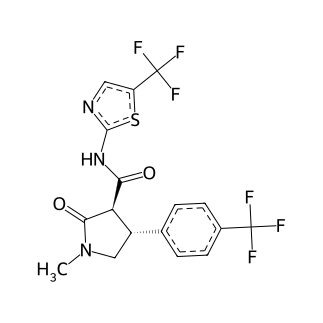 CN1C[C@@H](c2ccc(C(F)(F)F)cc2)[C@H](C(=O)Nc2ncc(C(F)(F)F)s2)C1=O